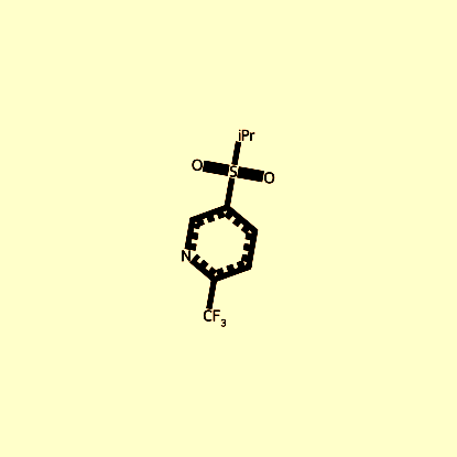 CC(C)S(=O)(=O)c1ccc(C(F)(F)F)nc1